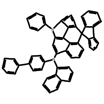 c1ccc(-c2ccc(N(c3cccc4ccccc34)c3cc4c5c6c(cccc36)C3(c6ccccc6-c6ccccc63)c3cccc(c35)n4-c3ccccc3)cc2)cc1